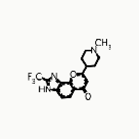 CN1CCC(c2cc(=O)c3ccc4[nH]c(C(F)(F)F)nc4c3o2)CC1